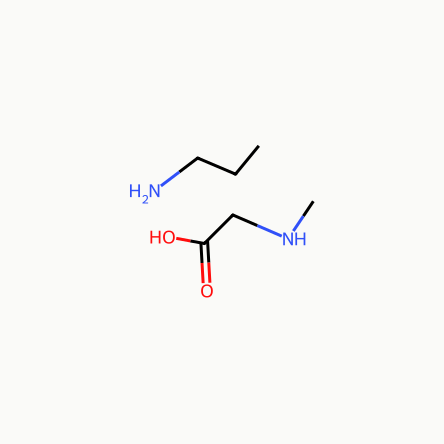 CCCN.CNCC(=O)O